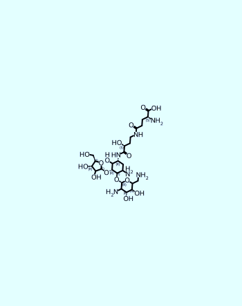 NCC1O[C@H](O[C@@H]2C(N)C[C@@H](NC(=O)[C@@H](O)CCNC(=O)CC[C@H](N)C(=O)O)C(O)[C@H]2O[C@@H]2O[C@H](CO)[C@H](O)C2O)C(N)[C@@H](O)[C@@H]1O